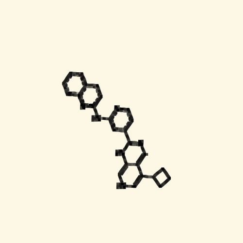 [C]1=C2C(=CNC=C2C2CCC2)NC(c2ccnc(Nc3ccc4ccccc4n3)c2)=N1